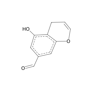 O=Cc1cc(O)c2c(c1)OC=CC2